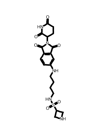 O=C1CCC(N2C(=O)c3ccc(NCCCCNS(=O)(=O)C4CNC4)cc3C2=O)C(=O)N1